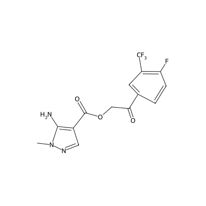 Cn1ncc(C(=O)OCC(=O)c2ccc(F)c(C(F)(F)F)c2)c1N